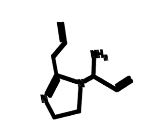 C=CCC1=NCCN1C(N)C=C